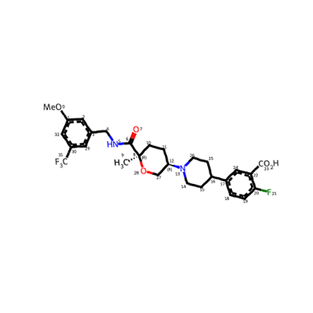 COc1cc(CNC(=O)[C@@]2(C)CC[C@@H](N3CCC(c4ccc(F)c(C(=O)O)c4)CC3)CO2)cc(C(F)(F)F)c1